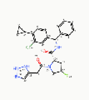 O=C(N[C@@H](c1ccccc1)c1ccc(C2CC2)c(Cl)c1)[C@@H]1C[C@@H](F)CN1C(=O)CC1=CNNN1